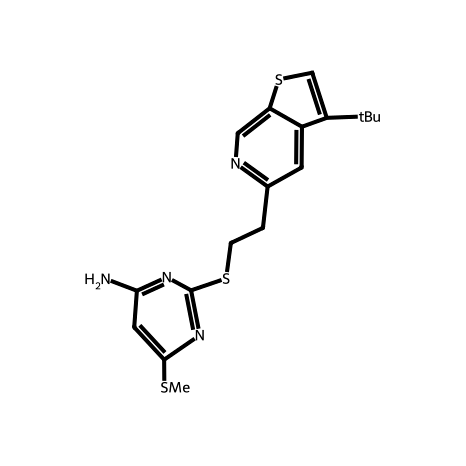 CSc1cc(N)nc(SCCc2cc3c(C(C)(C)C)csc3cn2)n1